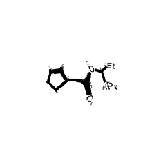 CCC(OC(=O)C1CCCC1)C(C)C